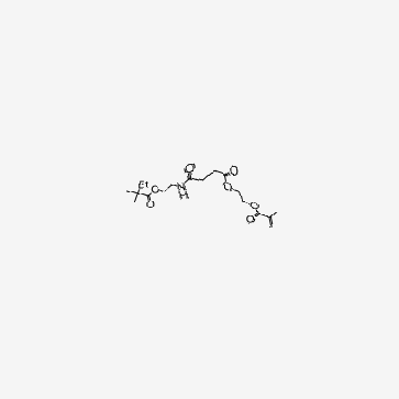 C=C(C)C(=O)OCCOC(=O)CCC(=O)NCCOC(=O)C(C)(C)CC